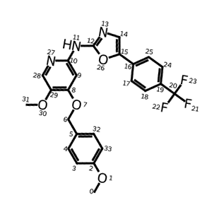 COc1ccc(COc2cc(Nc3ncc(-c4ccc(C(F)(F)F)cc4)o3)ncc2OC)cc1